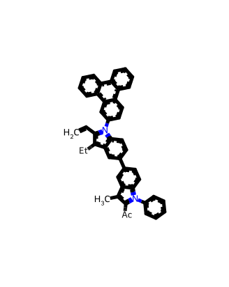 C=Cc1c(CC)c2cc(-c3ccc4c(c3)c(C)c(C(C)=O)n4-c3ccccc3)ccc2n1-c1ccc2c3ccccc3c3ccccc3c2c1